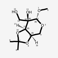 CO[C@@H]1OC[C@H]2OC(C)(C)O[C@H]2[C@]1(O)CO